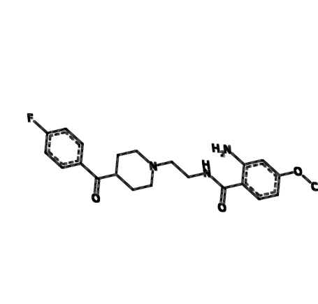 COc1ccc(C(=O)NCCN2CCC(C(=O)c3ccc(F)cc3)CC2)c(N)c1